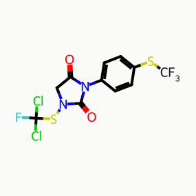 O=C1CN(SC(F)(Cl)Cl)C(=O)N1c1ccc(SC(F)(F)F)cc1